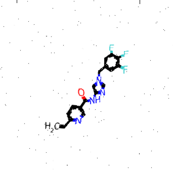 C=Cc1ccc(C(=O)Nc2cn(Cc3cc(F)c(F)c(F)c3)cn2)cn1